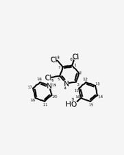 Clc1ccnc(Cl)c1Cl.Oc1ccccc1.c1ccncc1